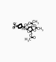 CC(=O)OC[C@H]1O[C@@H](NC(=O)c2ccc([N+](=O)[O-])cc2)[C@@H](F)[C@@H](OC(C)=O)[C@@H]1OC(C)=O